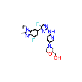 Cc1nc2c(F)cc(-c3nc(Nc4ccc(N5CCO[C@H](CO)C5)cn4)ncc3F)cc2n1C(C)C